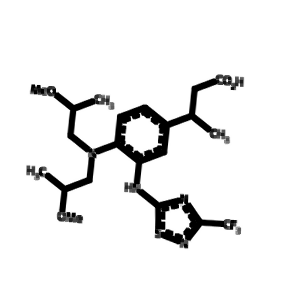 COC(C)CN(CC(C)OC)c1ccc(C(C)CC(=O)O)cc1Nc1nc(C(F)(F)F)ns1